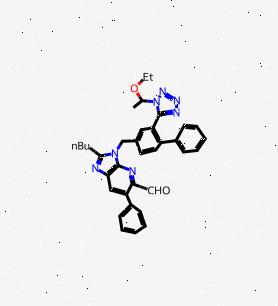 CCCCc1nc2cc(-c3ccccc3)c(C=O)nc2n1Cc1ccc(-c2ccccc2)c(-c2nnnn2C(C)OCC)c1